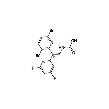 O=C(O)NC[C@@H](c1cc(F)cc(F)c1)c1nc(Br)ccc1Br